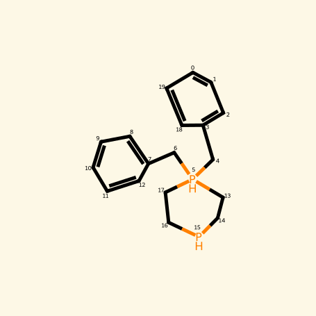 c1ccc(C[PH]2(Cc3ccccc3)CCPCC2)cc1